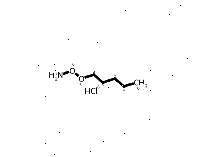 CCCCCOON.Cl